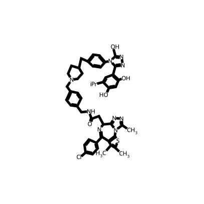 Cc1sc2c(c1C)C(c1ccc(Cl)cc1)=NC(CC(=O)NCc1ccc(CN3CCC(Cc4ccc(-n5c(O)nnc5-c5cc(C(C)C)c(O)cc5O)cc4)CC3)cc1)c1nnc(C)n1-2